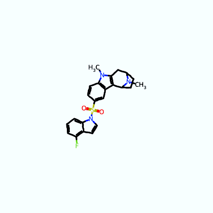 CN1C2CCC1c1c(n(C)c3ccc(S(=O)(=O)n4ccc5c(F)cccc54)cc13)C2